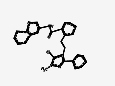 Cn1nc(-c2ccccc2)c(CCc2ccccc2C(=O)Nc2cnc3ccccc3c2)c1Cl